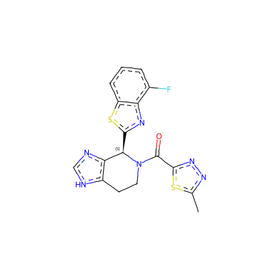 Cc1nnc(C(=O)N2CCc3[nH]cnc3[C@H]2c2nc3c(F)cccc3s2)s1